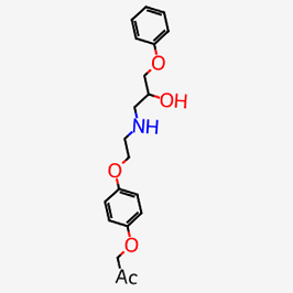 CC(=O)COc1ccc(OCCNCC(O)COc2ccccc2)cc1